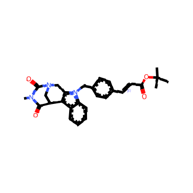 CN1C(=O)C2CN(Cc3c2c2ccccc2n3Cc2ccc(/C=C/C(=O)OC(C)(C)C)cc2)C1=O